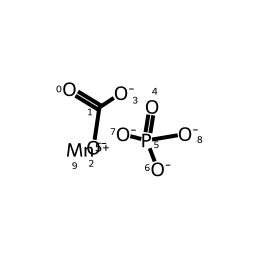 O=C([O-])[O-].O=P([O-])([O-])[O-].[Mn+5]